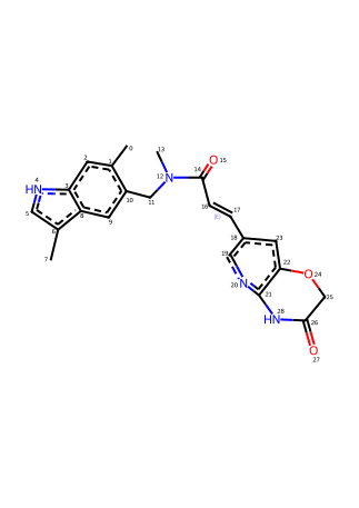 Cc1cc2[nH]cc(C)c2cc1CN(C)C(=O)/C=C/c1cnc2c(c1)OCC(=O)N2